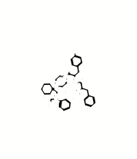 CC(=O)N(CC1(N2CCN(C(=O)C(Cc3ccc(Cl)cc3)NC(=O)C(N)Cc3ccccc3)CC2)CCCCC1)c1ccccc1